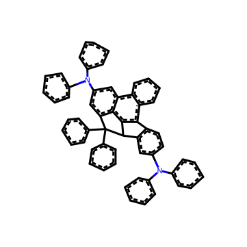 c1ccc(N(c2ccccc2)c2ccc3c(c2)C2c4c-3c3ccccc3c3cc(N(c5ccccc5)c5ccccc5)cc(c43)C2(c2ccccc2)c2ccccc2)cc1